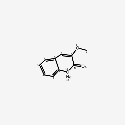 COc1cc2ccccc2oc1=O.[Na]